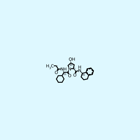 C[CH]C(=O)N[C@H](C(=O)N1C[C@H](O)C[C@H]1C(=O)N[C@@H]1CCCc2ccccc21)C1CCCCC1